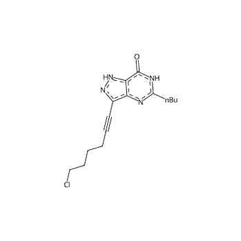 CCCCc1nc2c(C#CCCCCCl)n[nH]c2c(=O)[nH]1